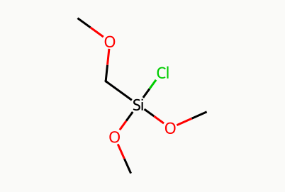 COC[Si](Cl)(OC)OC